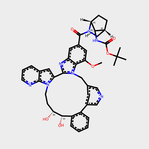 COc1cc(C(=O)N2C[C@H]3CC[C@@H]2[C@@H]3NC(=O)OC(C)(C)C)cc2nc3n(c12)Cc1cncc(c1)-c1ccccc1[C@H](O)[C@H](O)CCn1c-3cc2cccnc21